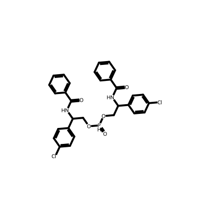 O=C(NC(CO[PH](=O)OCC(NC(=O)c1ccccc1)c1ccc(Cl)cc1)c1ccc(Cl)cc1)c1ccccc1